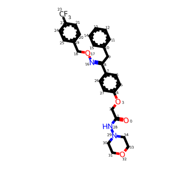 O=C(COc1ccc(C(Cc2ccccc2)=NOCc2ccc(C(F)(F)F)cc2)cc1)NN1CCOCC1